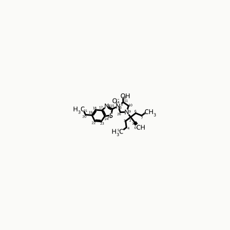 C#CC(CCC)(CCC)N1CC(O)[N+]([O-])(c2nc3cc(CC)ccc3s2)C1